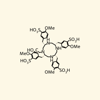 COc1ccc(C[C@H]2CN[C@@H](Cc3ccc(OC)c(S(=O)(=O)O)c3)CN(CC(=O)O)[C@@H](Cc3ccc(OC)c(S(=O)(=O)O)c3)CN[C@@H](Cc3ccc(OC)c(S(=O)(=O)O)c3)CN2)cc1S(=O)(=O)O